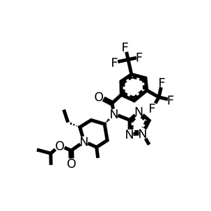 CC[C@@H]1C[C@H](N(C(=O)c2cc(C(F)(F)F)cc(C(F)(F)F)c2)c2ncn(C)n2)CC(C)N1C(=O)OC(C)C